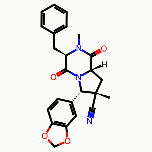 CN1C(=O)[C@@H]2C[C@](C)(C#N)[C@H](c3ccc4c(c3)OCO4)N2C(=O)[C@H]1Cc1ccccc1